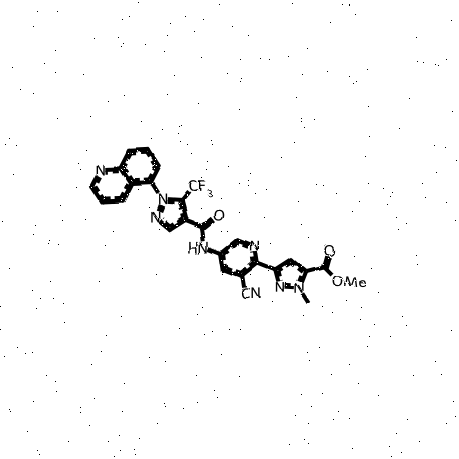 COC(=O)c1cc(-c2ncc(NC(=O)c3cnn(-c4cccc5ncccc45)c3C(F)(F)F)cc2C#N)nn1C